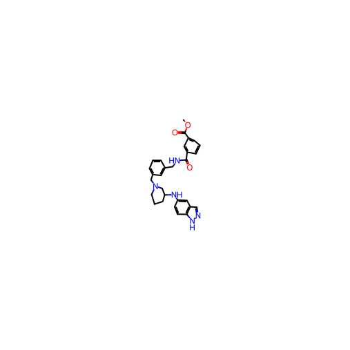 COC(=O)c1cccc(C(=O)NCc2cccc(CN3CCCC(Nc4ccc5[nH]ncc5c4)C3)c2)c1